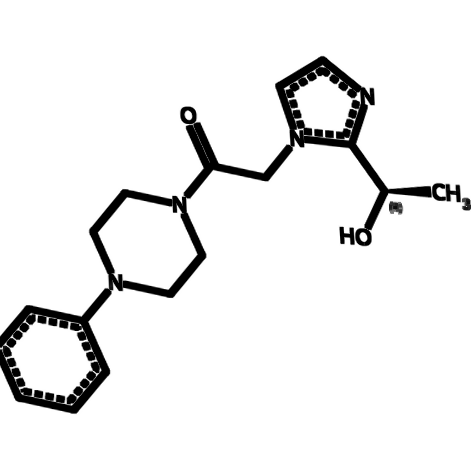 C[C@@H](O)c1nccn1CC(=O)N1CCN(c2ccccc2)CC1